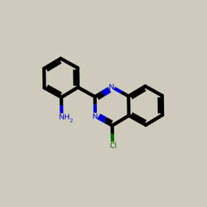 Nc1ccccc1-c1nc(Cl)c2ccccc2n1